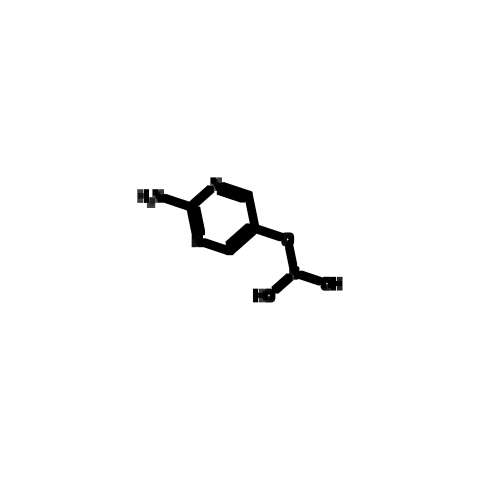 Nc1ncc(OB(O)O)cn1